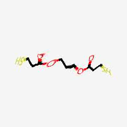 O=C(CCS)OCCCOC(=O)CCS